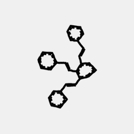 C(=Cc1cccc(C=Cc2ccccc2)c1C=Cc1ccccc1)c1ccccc1